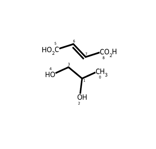 CC(O)CO.O=C(O)C=CC(=O)O